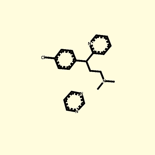 CN(C)CCC(c1ccc(Cl)cc1)c1ccccn1.c1cncnc1